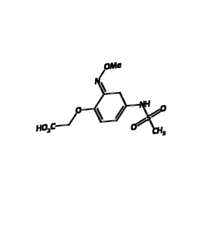 CO/N=C1\CC(NS(C)(=O)=O)=CC=C1OCC(=O)O